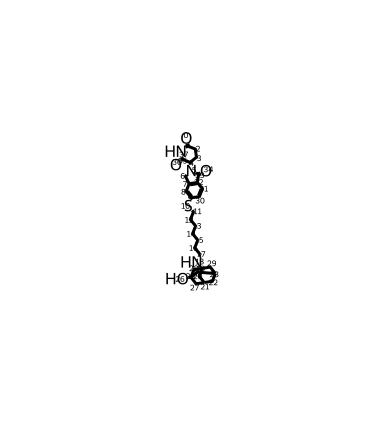 O=C1CCC(N2Cc3cc(SCCCCCCCNC45CC6CC(CC(O)(C6)C4)C5)ccc3C2=O)C(=O)N1